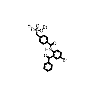 CCOP(=O)(Cc1ccc(C(=O)Nc2ccc(Br)cc2C(=O)c2ccccc2)cc1)OCC